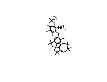 CCC(C)(C)Cc1c(C)c(C)c(C)c(Cc2cc3c(cc2C)C2(CC(C)(C)C4=C/CC(C)(C)C(C)(C)C/C=C\42)CC3(C)C)c1N